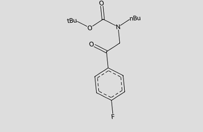 CCCCN(CC(=O)c1ccc(F)cc1)C(=O)OC(C)(C)C